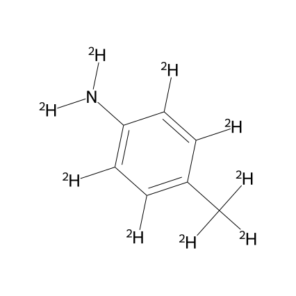 [2H]c1c([2H])c(C([2H])([2H])[2H])c([2H])c([2H])c1N([2H])[2H]